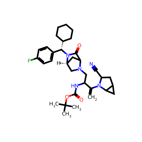 C=C(C(CN1C[C@@H]2CC1C(=O)N2[C@H](c1ccc(F)cc1)C1CCCCC1)NC(=O)OC(C)(C)C)N1C(C#N)CC2CC21